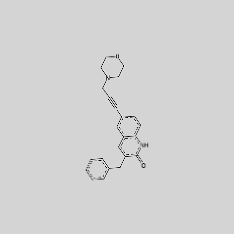 O=c1[nH]c2ccc(C#CCN3CCOCC3)cc2cc1Cc1ccccc1